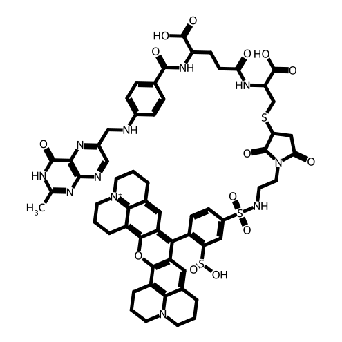 Cc1nc2ncc(CNc3ccc(C(=O)NC(CCC(=O)NC(CSC4CC(=O)N(CCNS(=O)(=O)c5ccc(C6=c7cc8c9c(c7Oc7c6cc6c%10c7CCCN%10CCC6)CCC[N+]=9CCC8)c(S(=O)O)c5)C4=O)C(=O)O)C(=O)O)cc3)nc2c(=O)[nH]1